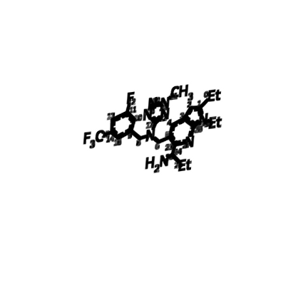 CCc1cc2cc(CN(Cc3cc(F)cc(C(F)(F)F)c3)c3nnn(C)n3)c(C(N)CC)nc2n1CC